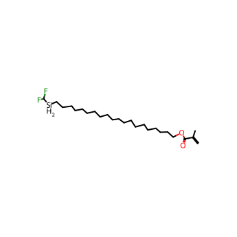 C=C(C)C(=O)OCCCCCCCCCCCCCCCCCCCC[SiH2]C(F)F